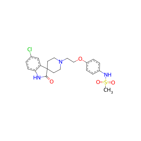 CS(=O)(=O)Nc1ccc(OCCN2CCC3(CC2)C(=O)Nc2ccc(Cl)cc23)cc1